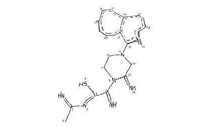 CC(=N)/N=C(\S)C(=N)N1CCN(c2nccc3ccccc23)CC1=N